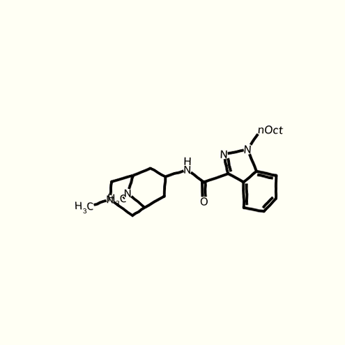 CCCCCCCCn1nc(C(=O)NC2CC3CN(C)CC(C2)N3C)c2ccccc21